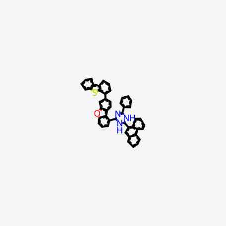 c1ccc(C2=NC(c3cccc4oc5cc(-c6cccc7c6sc6ccccc67)ccc5c34)NC(c3cc4ccccc4c4ccccc34)N2)cc1